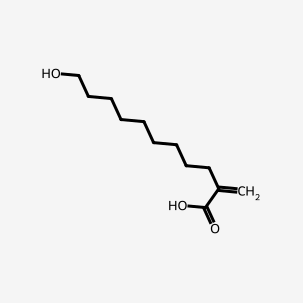 C=C(CCCCCCCCCO)C(=O)O